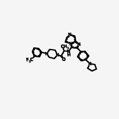 CC(Nc1c(-c2ccc(N3CCCC3)cc2)nc2cnccn12)C(=O)N1CCN(c2cccc(C(F)(F)F)c2)CC1